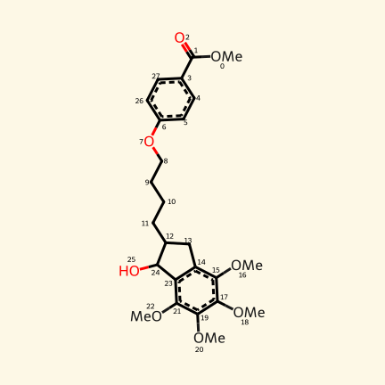 COC(=O)c1ccc(OCCCCC2Cc3c(OC)c(OC)c(OC)c(OC)c3C2O)cc1